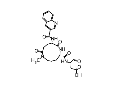 CN1CCC[C@@H](C(=O)N[C@H](C=O)CC(=O)O)NC(=O)[C@@H](NC(=O)c2cnc3ccccc3c2)CCC1=O